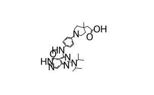 CC(C)N(c1nc(Nc2ccc(N3CCC(C)(CC(=O)O)CC3)cc2)c2c(=O)[nH]ncc2n1)C(C)C